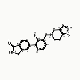 O=C1NCc2cc(-c3nccc(CN4CCc5oncc5C4)c3F)ccc21